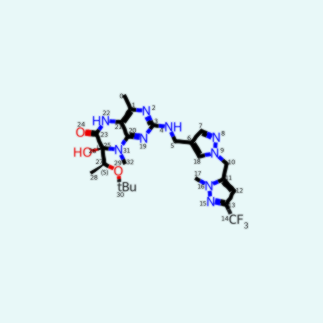 Cc1nc(NCc2cnn(Cc3cc(C(F)(F)F)nn3C)c2)nc2c1NC(=O)[C@@](O)([C@H](C)OC(C)(C)C)N2C